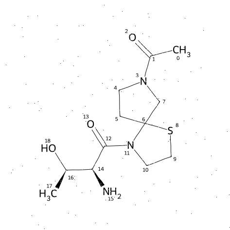 CC(=O)N1CCC2(C1)SCCN2C(=O)[C@@H](N)[C@@H](C)O